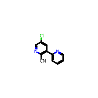 N#Cc1ncc(Cl)cc1-c1ccccn1